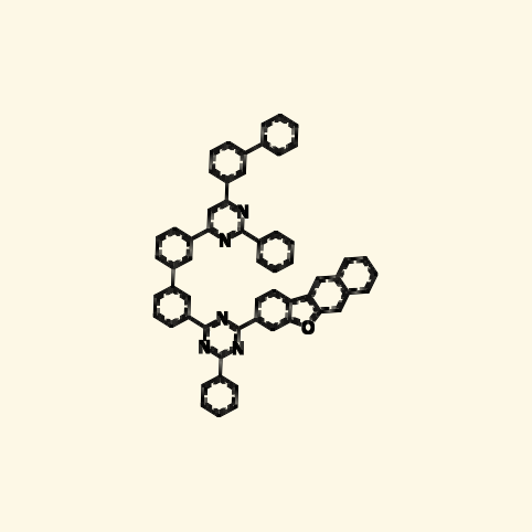 c1ccc(-c2cccc(-c3cc(-c4cccc(-c5cccc(-c6nc(-c7ccccc7)nc(-c7ccc8c(c7)oc7cc9ccccc9cc78)n6)c5)c4)nc(-c4ccccc4)n3)c2)cc1